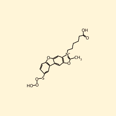 Cc1oc2cc3c(cc2[n+]1CCCCCC(=O)O)oc1ccc(SOOO)cc13